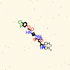 Cc1c(-c2cc(C(=O)NC34CC(NC(=O)COc5ccc(Cl)c(F)c5)(C3)C4)no2)cnn1C